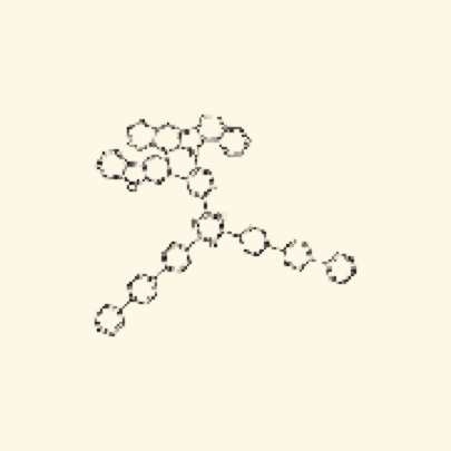 c1ccc(-c2ccc(-c3ccc(-c4nc(-c5ccc(-c6ccc(-c7ccccc7)cc6)cc5)nc(-c5ccc(-n6c7cc8ccccc8cc7c7ccc8ccccc8c76)c(-c6ccc7c(c6)oc6ccccc67)c5)n4)cc3)cc2)cc1